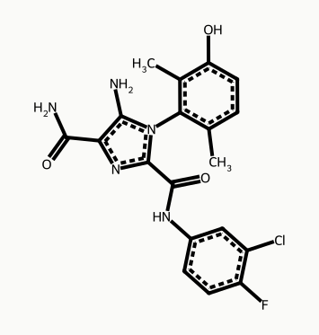 Cc1ccc(O)c(C)c1-n1c(C(=O)Nc2ccc(F)c(Cl)c2)nc(C(N)=O)c1N